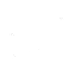 COCc1ccc2c(c1)CCNC2C(N)=O.Cl